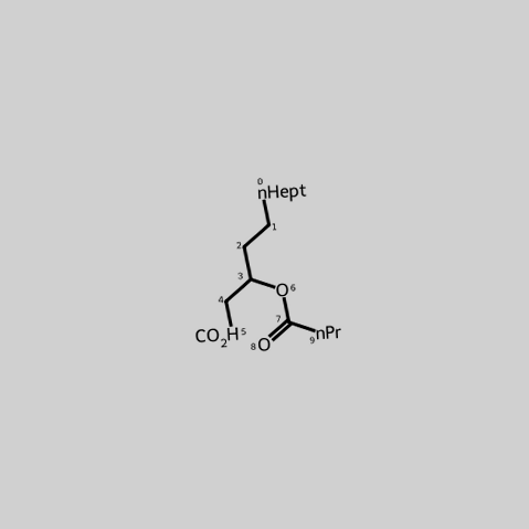 CCCCCCCCCC(CC(=O)O)OC(=O)CCC